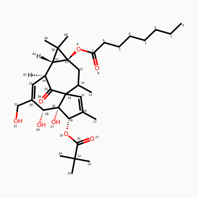 CCCCCCCC(=O)O[C@@]12CC(C)C34C=C(C)[C@H](OC(=O)C(C)(C)C)[C@@]3(O)[C@H](O)C(CO)=C[C@H](C4=O)[C@@H]1C2(C)C